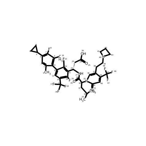 Cc1cc(C2CC2)c(F)c(C)c1-c1cc(C(F)(F)F)c(F)c([C@H](CC(=O)O)NC(=O)C(CC(C)C)n2cc(CCN3CCC3)c(C(F)(F)F)cc2=O)c1F